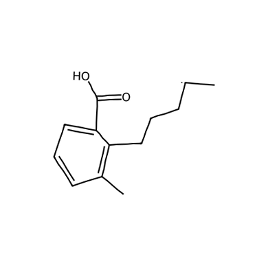 C[CH]CCCc1c(C)cccc1C(=O)O